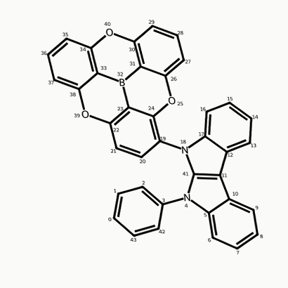 c1ccc(-n2c3ccccc3c3c4ccccc4n(-c4ccc5c6c4Oc4cccc7c4B6c4c(cccc4O5)O7)c32)cc1